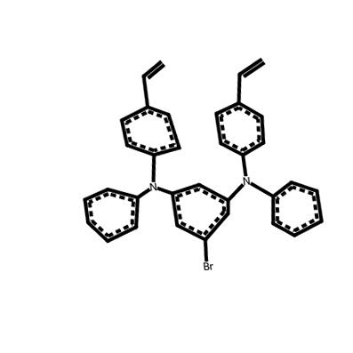 C=Cc1ccc(N(c2ccccc2)c2cc(Br)cc(N(c3ccccc3)c3ccc(C=C)cc3)c2)cc1